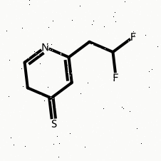 FC(F)CC1=CC(=S)CC=N1